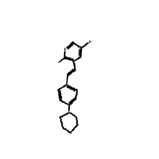 Fc1ncc(Br)cc1/C=C/c1ccc(N2CCCCC2)cc1